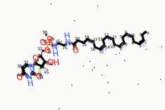 CC/C=C\C/C=C\C/C=C\C/C=C\C/C=C\C/C=C\CCC(=O)NCCNP(=O)(OC)OC[C@H]1O[C@@H](n2ccc(=O)[nH]c2=O)[C@](C)(F)[C@@H]1O